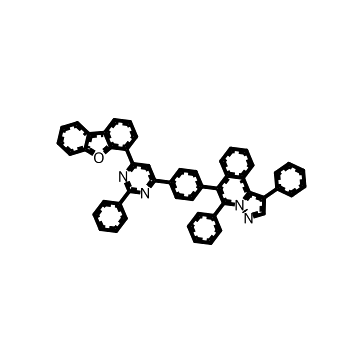 c1ccc(-c2nc(-c3ccc(-c4c(-c5ccccc5)n5ncc(-c6ccccc6)c5c5ccccc45)cc3)cc(-c3cccc4c3oc3ccccc34)n2)cc1